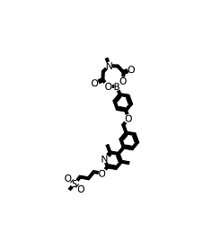 Cc1cc(OCCCS(C)(=O)=O)nc(C)c1-c1cccc(COc2ccc(B3OC(=O)CN(C)CC(=O)O3)cc2)c1